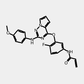 C=CC(=O)Nc1ccc(F)c(Oc2nc(Nc3ccc(OC)cc3)nn3cccc23)c1